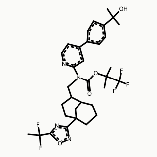 CC(C)(O)c1ccc(-c2ccnc(N(CC3CCC4(c5noc(C(C)(F)F)n5)CCCC3C4)C(=O)OC(C)(C)C(F)(F)F)c2)cc1